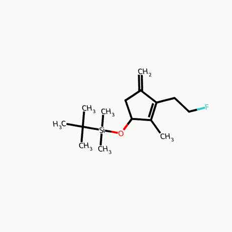 C=C1CC(O[Si](C)(C)C(C)(C)C)C(C)=C1CCF